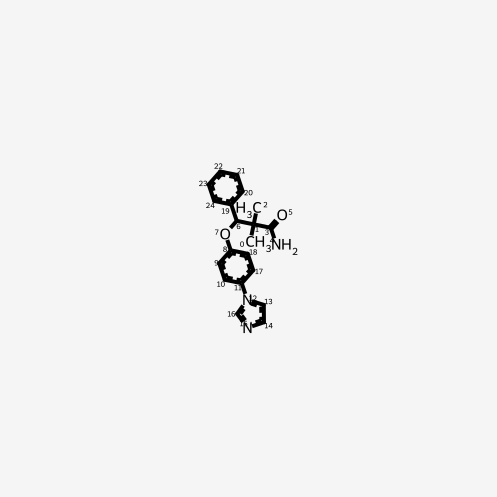 CC(C)(C(N)=O)C(Oc1ccc(-n2ccnc2)cc1)c1ccccc1